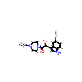 CN1CCN(C(=O)C(=O)c2c[nH]c3ccc(Br)cc23)CC1